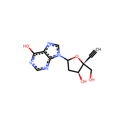 C#C[C@]1(CO)OC(n2cnc3c(O)ncnc32)C[C@@H]1O